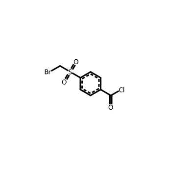 O=C(Cl)c1ccc(S(=O)(=O)CBr)cc1